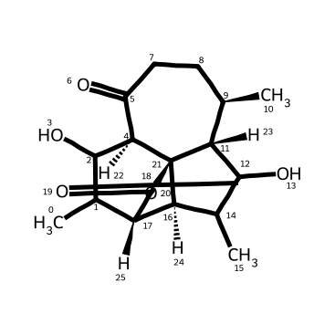 CC1C(O)[C@H]2C(=O)CC[C@@H](C)[C@@H]3C(O)C(C)[C@H]4[C@H]1C(=O)O[C@@]234